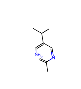 C=C(C)/N=C\C(=C/N)C(C)C